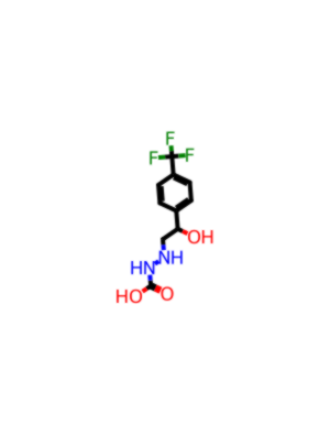 O=C(O)NNCC(O)c1ccc(C(F)(F)F)cc1